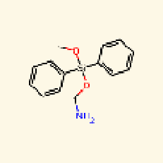 CO[Si](OCN)(c1ccccc1)c1ccccc1